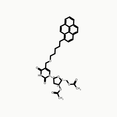 CC(=O)OC[C@H]1O[C@@H](n2cc(COCCCCCc3ccc4ccc5cccc6ccc3c4c56)c(=O)[nH]c2=O)C[C@@H]1OC(C)=O